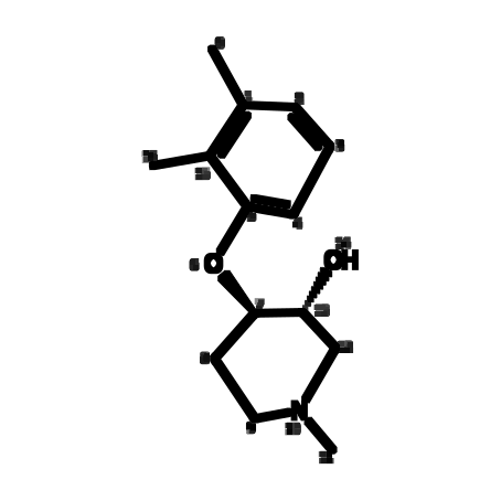 Cc1cccc(O[C@@H]2CCN(C)C[C@H]2O)c1C